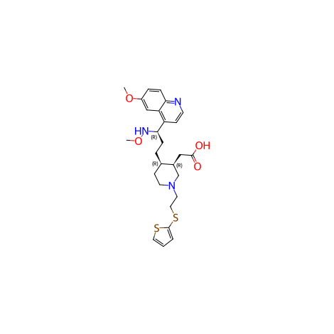 CON[C@H](CC[C@@H]1CCN(CCSc2cccs2)C[C@@H]1CC(=O)O)c1ccnc2ccc(OC)cc12